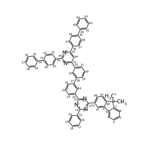 CC1(C)c2ccccc2-c2cc(-c3nc(-c4ccccc4)nc(-c4cccc(-c5cccc(-c6cc(-c7ccc(-c8ccccc8)cc7)nc(-c7ccc(-c8ccccc8)cc7)n6)c5)c4)n3)ccc21